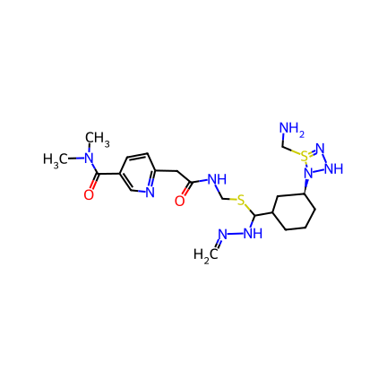 C=NNC(SCNC(=O)Cc1ccc(C(=O)N(C)C)cn1)C1CCC[C@H](N2NN=S2CN)C1